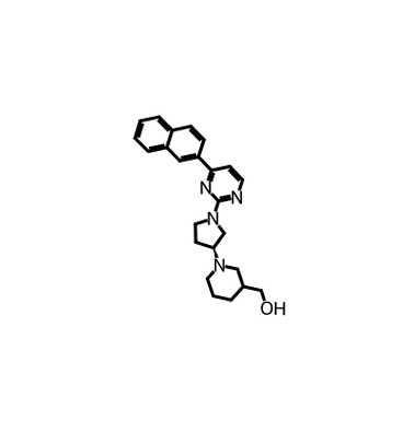 OCC1CCCN([C@H]2CCN(c3nccc(-c4ccc5ccccc5c4)n3)C2)C1